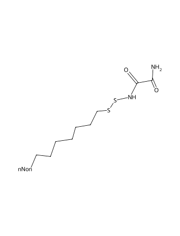 CCCCCCCCCCCCCCCCSSNC(=O)C(N)=O